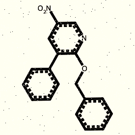 O=[N+]([O-])c1cnc(OCc2ccccc2)c(-c2ccccc2)c1